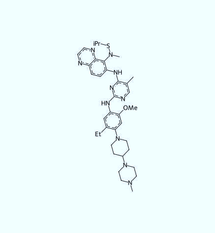 CCc1cc(Nc2ncc(C)c(Nc3ccc4nccnc4c3N(C)SC(C)C)n2)c(OC)cc1N1CCC(N2CCN(C)CC2)CC1